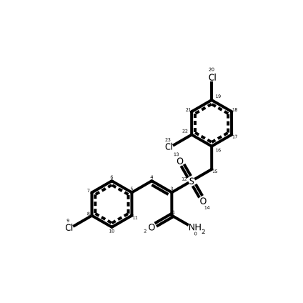 NC(=O)/C(=C\c1ccc(Cl)cc1)S(=O)(=O)Cc1ccc(Cl)cc1Cl